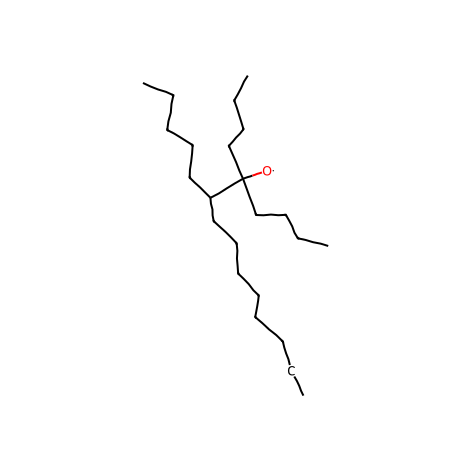 CCCCCCCCC(CCCCC)C([O])(CCCC)CCCC